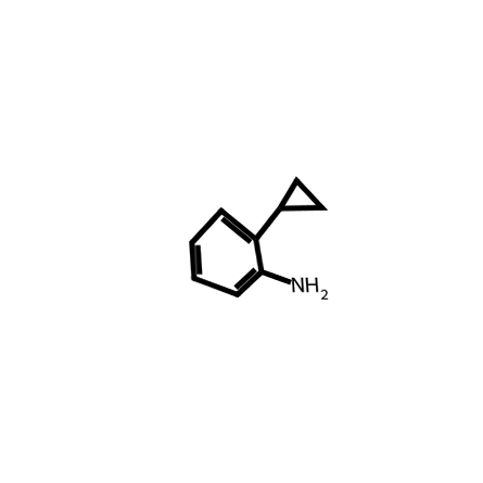 Nc1ccccc1C1CC1